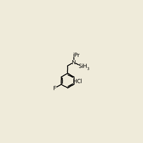 CC(C)N([SiH3])Cc1cccc(F)c1.Cl